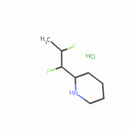 CC(F)C(F)C1CCCCN1.Cl